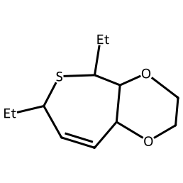 CCC1C=CC2OCCOC2C(CC)S1